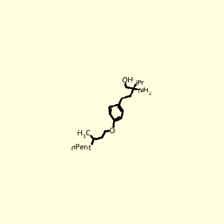 CCCCCC(C)CCOc1ccc(CCC(N)(CO)C(C)C)cc1